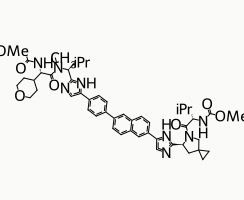 COC(=O)N[C@H](C(=O)N1CC2(CC2)C[C@H]1c1ncc(-c2ccc3cc(-c4ccc(-c5cnc([C@H](C(C)C)N(C)C(=O)[C@@H](NC(=O)OC)C6CCOCC6)[nH]5)cc4)ccc3c2)[nH]1)C(C)C